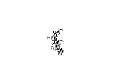 COc1cc(C(=O)NCc2c(C)cc(C)[nH]c2=O)c(C)c2c1OC(C)(C1CCC(NC(=O)O)CC1)O2